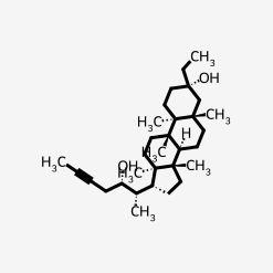 CC#CC[C@H](O)[C@@H](C)[C@H]1CC[C@@]2(C)[C@@H]3CC[C@@]4(C)C[C@](O)(CC)CC[C@]4(C)[C@@]3(C)CC[C@]12C